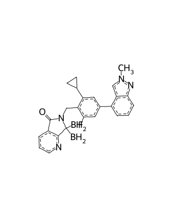 BC1(B)c2ncccc2C(=O)N1Cc1c(F)cc(-c2cccc3nn(C)cc23)cc1C1CC1